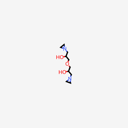 OC(COCC(O)CN1CC1)CN1CC1